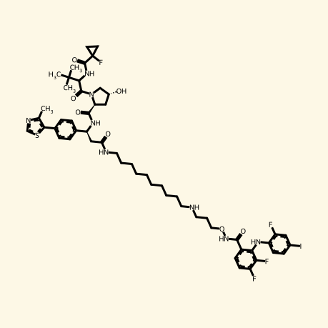 Cc1ncsc1-c1ccc([C@H](CC(=O)NCCCCCCCCCCNCCCONC(=O)c2ccc(F)c(F)c2Nc2ccc(I)cc2F)NC(=O)[C@@H]2C[C@@H](O)CN2C(=O)C(NC(=O)C2(F)CC2)C(C)(C)C)cc1